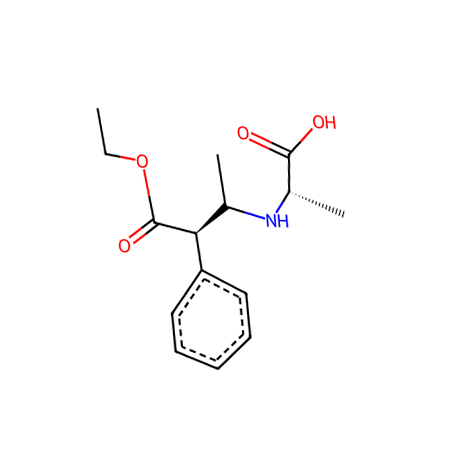 CCOC(=O)[C@H](c1ccccc1)C(C)N[C@@H](C)C(=O)O